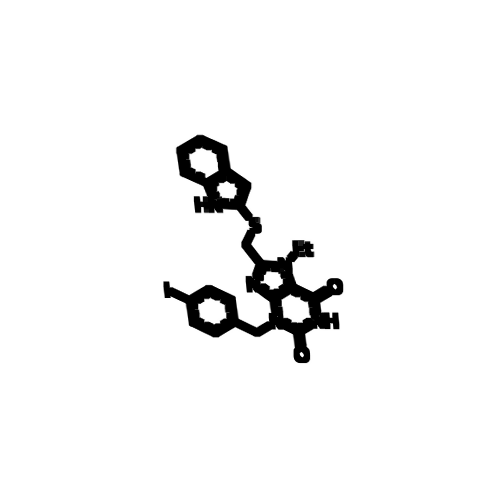 CCn1c(CSc2cc3ccccc3[nH]2)nc2c1c(=O)[nH]c(=O)n2Cc1ccc(I)cc1